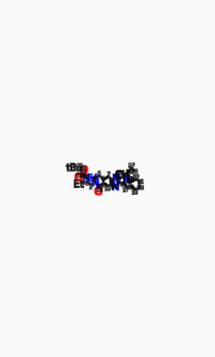 CC[C@H](CN1CCc2cc3c(cc2C1=O)nc(-c1cc2ccccc2n1CC1CC1)n3C)NC(=O)OC(C)(C)C